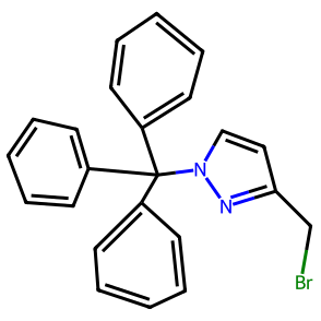 BrCc1ccn(C(c2ccccc2)(c2ccccc2)c2ccccc2)n1